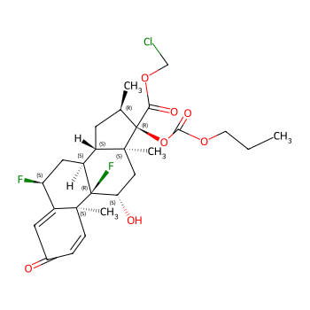 CCCOC(=O)O[C@]1(C(=O)OCCl)[C@H](C)C[C@H]2[C@@H]3C[C@H](F)C4=CC(=O)C=C[C@]4(C)[C@@]3(F)[C@@H](O)C[C@@]21C